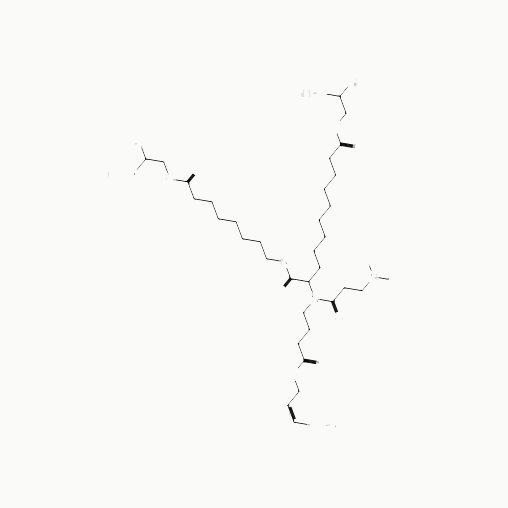 CCCCCC/C=C\COC(=O)CCCN(C(=O)CCN(CC)CC)C(CCCCCCCCC(=O)OCC(CCCC)CCCCCC)C(=O)NCCCCCCCC(=O)OCC(CCCC)CCCCCC